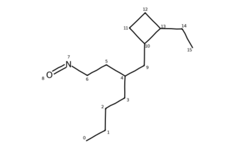 CCCCC(CCN=O)CC1CCC1CC